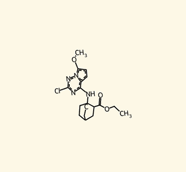 CCOC(=O)C1CC2CCC1(Nc1nc(Cl)nn3c(OC)ccc13)CC2